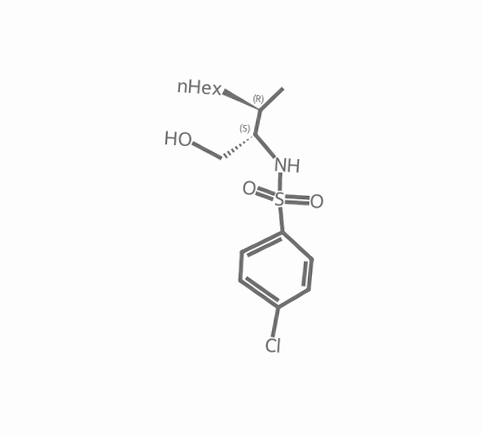 CCCCCC[C@@H](C)[C@@H](CO)NS(=O)(=O)c1ccc(Cl)cc1